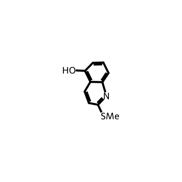 CSc1ccc2c(O)cccc2n1